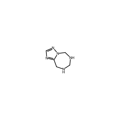 c1nc2n(n1)CNCNC2